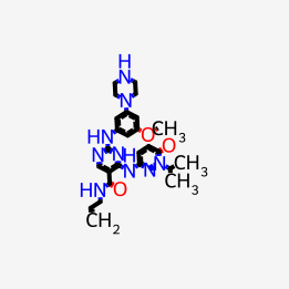 C=CCNC(=O)c1cnc(Nc2cc(OC)cc(N3CCNCC3)c2)nc1Nc1ccc(=O)n(C(C)C)n1